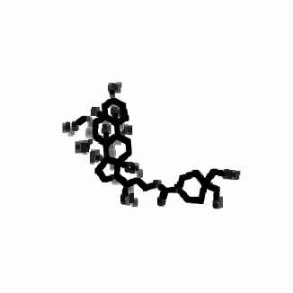 CC[C@H]1[C@@H](O)[C@@H]2[C@H](CC[C@]3(C)[C@@H]([C@H](C)CCOC(=O)N4CCC(CO)(CCl)CC4)CC[C@@H]23)[C@@]2(C)CC[C@@H](O)C[C@@H]12